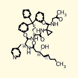 CCC/C=C/[C@@H](O)CC(=O)N[C@H](Cc1ccncc1)C(=O)N[C@H](CSC(c1ccccc1)(c1ccccc1)c1ccccc1)C(=O)NC1(C(=O)NCC(C)=O)CC1